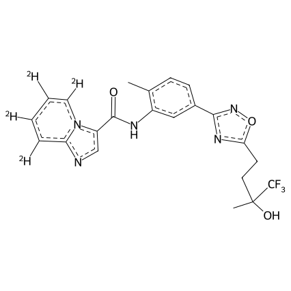 [2H]c1c([2H])c([2H])n2c(C(=O)Nc3cc(-c4noc(CCC(C)(O)C(F)(F)F)n4)ccc3C)cnc2c1[2H]